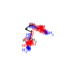 CC(C)(CCCCCc1cccc(CCCCCC2(C(=O)CCNC(=O)CCNC(=O)C(O)C(C)(C)COP(=O)(O)OP(=O)(O)OCC3OC(n4cnc5c(N)ncnc54)C(O)C3OP(=O)(O)O)CC2)c1)C(=O)CCNC(=O)CCNC(=O)C(O)C(C)(C)COP(=O)(O)OP(=O)(O)OCC1OC(n2cnc3c(N)ncnc32)C(O)C1OP(=O)(O)O